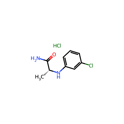 C[C@@H](Nc1cccc(Cl)c1)C(N)=O.Cl